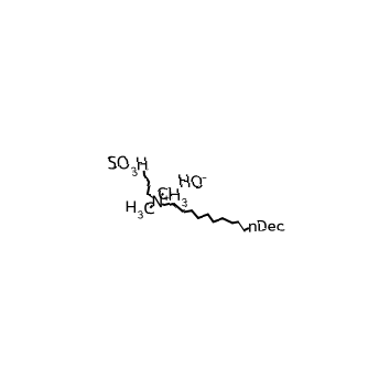 CCCCCCCCCCCCCCCCCCCCC[N+](C)(C)CCCS(=O)(=O)O.[OH-]